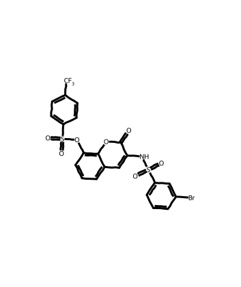 O=c1oc2c(OS(=O)(=O)c3ccc(C(F)(F)F)cc3)cccc2cc1NS(=O)(=O)c1cccc(Br)c1